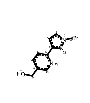 CC(C)n1ccc(-c2ccc(CO)cn2)n1